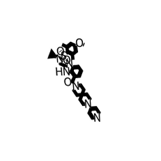 COc1cc(C)c(S(=O)(=O)N(Cc2nc3cccc(C(=O)N4CCC5(CC4)CCN(c4ccncc4)CC5)c3[nH]2)C2CC2)c(C)c1